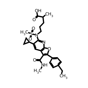 CCc1ccc(-c2oc3nc(N(CCCC(C)C(=O)O)S(C)(=O)=O)c(C4CC4)cc3c2C(=O)NC)cc1